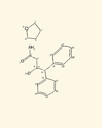 C1CCOC1.NC(=O)C[S+]([O-])C(c1ccccc1)c1ccccc1